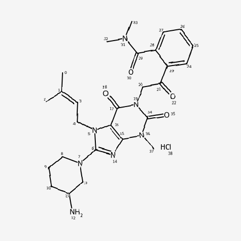 CC(C)=CCn1c(N2CCCC(N)C2)nc2c1c(=O)n(CC(=O)c1ccccc1C(=O)N(C)C)c(=O)n2C.Cl